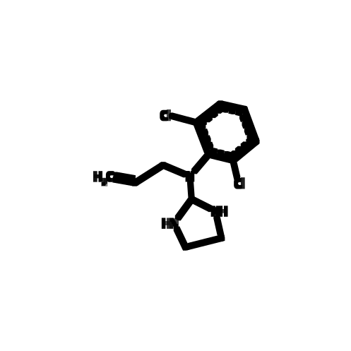 C=CCN(c1c(Cl)cccc1Cl)C1NCCN1